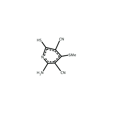 CSc1c(C#N)c(N)nc(S)c1C#N